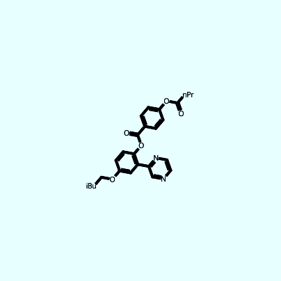 CCCC(=O)Oc1ccc(C(=O)Oc2ccc(OCC(C)CC)cc2-c2cnccn2)cc1